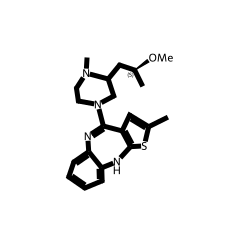 CO[C@@H](C)CC1CN(C2=Nc3ccccc3Nc3sc(C)cc32)CCN1C